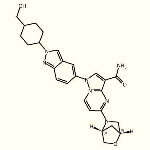 NC(=O)c1cn(-c2ccc3nn(C4CCC(CO)CC4)cc3c2)[n+]2ccc(N3C[C@H]4C[C@@H]3CO4)nc12